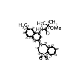 COC(C)(C)C(=O)Nc1cc(N2CCS(=O)(=O)c3ccccc3C2)nc2ccc(C)cc12